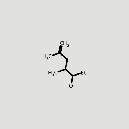 C=C(C)CC(C)C([O])CC